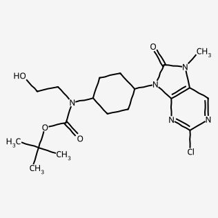 Cn1c(=O)n(C2CCC(N(CCO)C(=O)OC(C)(C)C)CC2)c2nc(Cl)ncc21